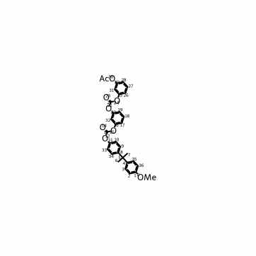 COc1ccc(C(C)(C)c2ccc(OC(=O)Oc3cccc(OC(=O)Oc4cccc(OC(C)=O)c4)c3)cc2)cc1